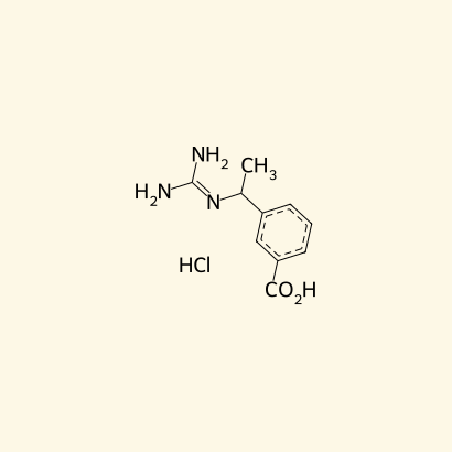 CC(N=C(N)N)c1cccc(C(=O)O)c1.Cl